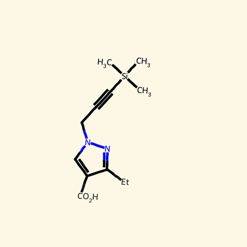 CCc1nn(CC#C[Si](C)(C)C)cc1C(=O)O